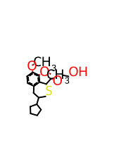 COc1ccc2c(c1OC)C(COCCO)SCC(C1CCCC1)C2